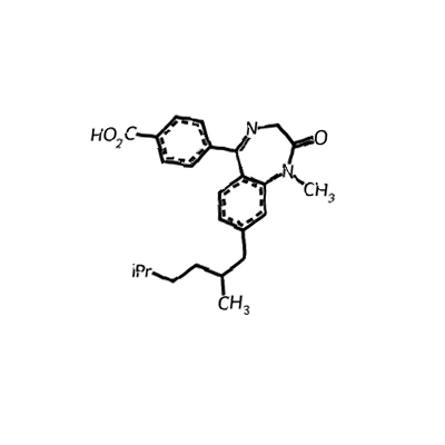 CC(C)CCC(C)Cc1ccc2c(c1)N(C)C(=O)CN=C2c1ccc(C(=O)O)cc1